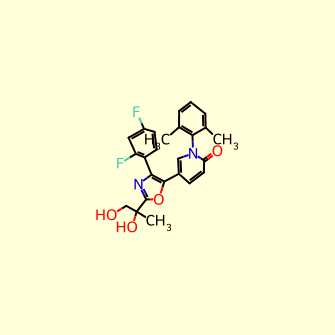 Cc1cccc(C)c1-n1cc(-c2oc(C(C)(O)CO)nc2-c2ccc(F)cc2F)ccc1=O